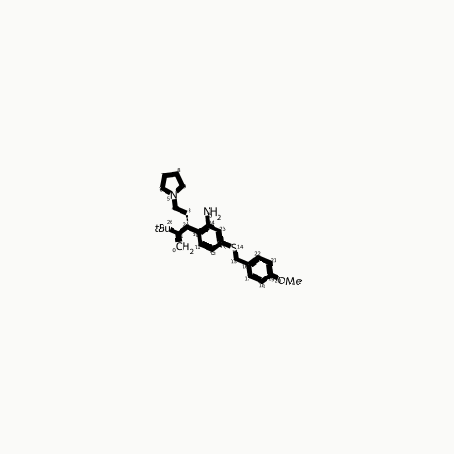 C=C([C@H](CCN1CCCC1)c1ccc(SCc2ccc(OC)cc2)cc1N)C(C)(C)C